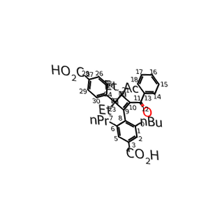 CCCCc1cc(C(=O)O)cc(CCC)c1C1=C(C(=O)c2ccccc2)[C@](CC)(C(C)=O)[C@@]1(CC)c1ccc(C(=O)O)cc1